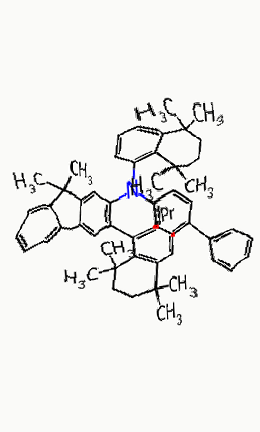 CC(C)c1ccc2c(c1-c1cc3c(cc1N(c1ccc(-c4ccccc4)cc1)c1cccc4c1C(C)(C)CCC4(C)C)C(C)(C)c1ccccc1-3)C(C)(C)CCC2(C)C